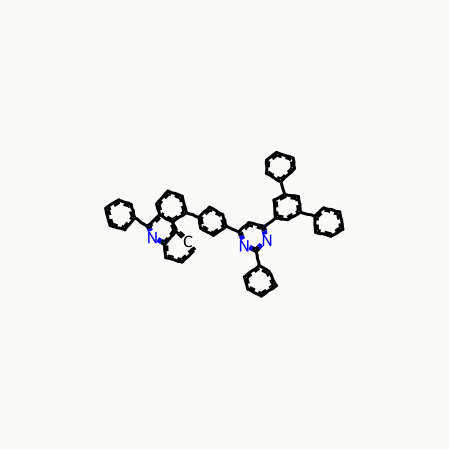 c1ccc(-c2cc(-c3ccccc3)cc(-c3cc(-c4ccc(-c5cccc6c(-c7ccccc7)nc7ccccc7c56)cc4)nc(-c4ccccc4)n3)c2)cc1